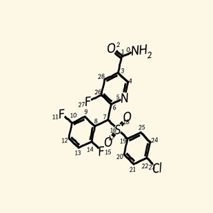 NC(=O)c1cnc(C(c2cc(F)ccc2F)S(=O)(=O)c2ccc(Cl)cc2)c(F)c1